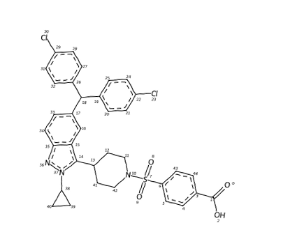 O=C(O)c1ccc(S(=O)(=O)N2CCC(c3c4cc(C(c5ccc(Cl)cc5)c5ccc(Cl)cc5)ccc4nn3C3CC3)CC2)cc1